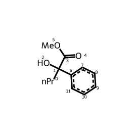 CCCC(O)(C(=O)OC)c1ccccc1